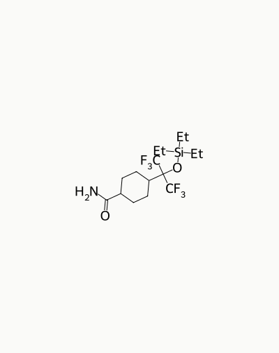 CC[Si](CC)(CC)OC(C1CCC(C(N)=O)CC1)(C(F)(F)F)C(F)(F)F